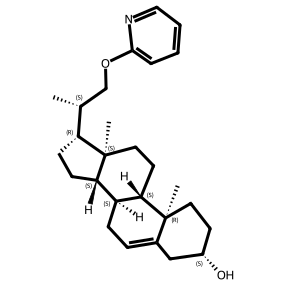 C[C@H](COc1ccccn1)[C@H]1CC[C@H]2[C@@H]3CC=C4C[C@@H](O)CC[C@]4(C)[C@H]3CC[C@]12C